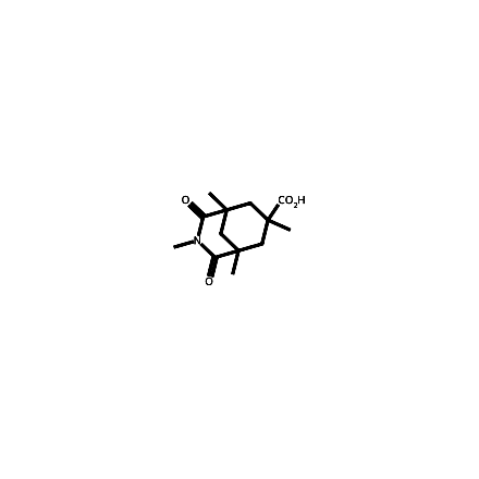 CN1C(=O)C2(C)CC(C)(C(=O)O)CC(C)(C2)C1=O